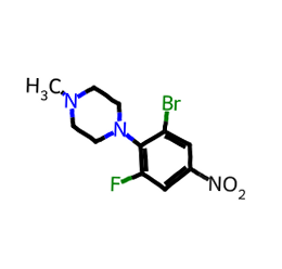 CN1CCN(c2c(F)cc([N+](=O)[O-])cc2Br)CC1